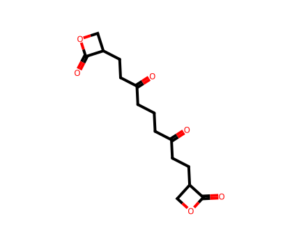 O=C(CCCC(=O)CCC1COC1=O)CCC1COC1=O